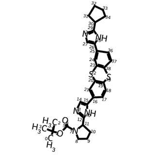 CC(C)(C)OC(=O)N1CCCC1c1ncc(-c2ccc3c(c2)Sc2cc(-c4cnc(C5CCCC5)[nH]4)ccc2S3)[nH]1